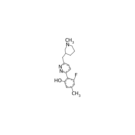 Cc1cc(O)c(-c2ccc(CC3CCCN(C)C3)nn2)c(F)c1